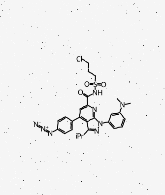 CC(C)c1nn(-c2cccc(N(C)C)c2)c2nc(C(=O)NS(=O)(=O)CCCCl)cc(-c3ccc(N=[N+]=[N-])cc3)c12